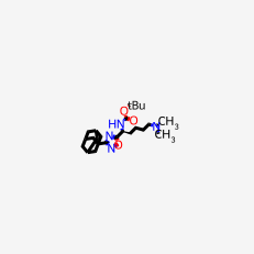 CN(C)CCCC[C@H](NC(=O)OC(C)(C)C)c1nc(C23CC4CC(CC(C4)C2)C3)no1